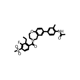 CCc1c(C(=O)N2CCOc3ccc(-c4ccc(NC(C)=O)c(C)c4)cc3C2)ccc(S(C)(=O)=O)c1F